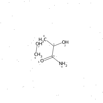 CC(O)C(N)=O.CO